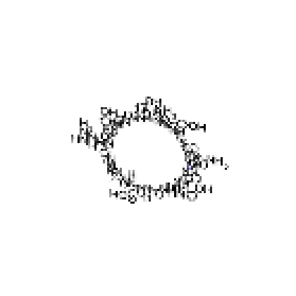 CC(C)C[C@@H]1NC(=O)[C@H](CCC(=O)O)NC(=O)[C@H](CC(C)C)NC(=O)[C@@H]2CCCN2C(=O)[C@H](CCCNC(=N)N)NC(=O)[C@H](Cc2ccc(O)cc2)NC(=O)[C@@H]2CCCN2C(=O)[C@H](Cc2ccc(O)cc2)NC(=O)[C@H](CC(N)=O)NC(=O)[C@@H](Cc2ccc(O)cc2)NC(=O)CSC[C@@H](C(=O)NCC(N)=O)NC(=O)/C(=C/c2ccc(O)cc2)NC(=O)[C@H](Cc2c[nH]c3ccccc23)NC(=O)CNC1=O